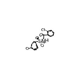 O=C(NS(=O)(=O)c1ccc(Cl)cc1)c1ccccc1Cl